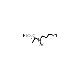 CCOC(=O)C(C)N(CCCCl)C(C)=O